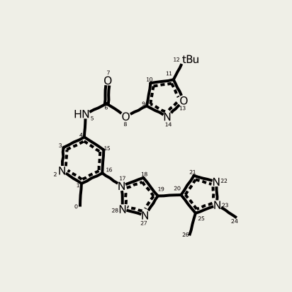 Cc1ncc(NC(=O)Oc2cc(C(C)(C)C)on2)cc1-n1cc(-c2cnn(C)c2C)nn1